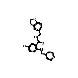 O=C(NCc1ccc2c(c1)OCO2)c1cc(Cl)ccc1NCc1ccncc1